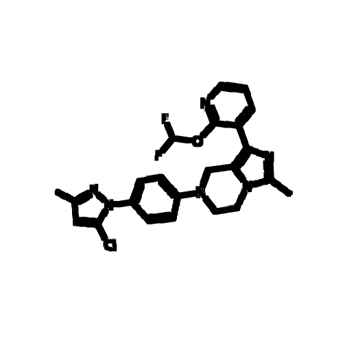 Cc1cc(Cl)n(-c2ccc(N3CCn4c(C)nc(-c5cccnc5OC(F)F)c4C3)cc2)n1